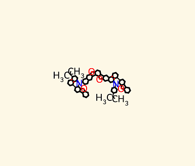 CC(C)c1ccc(N(c2ccc3cc4c(cc3c2)oc2c4ccc3oc4cc5cc(N(c6ccc(C(C)C)cc6)c6c(-c7ccccc7)ccc7c6oc6ccccc67)ccc5cc4c32)c2c(-c3ccccc3)ccc3c2oc2ccccc23)cc1